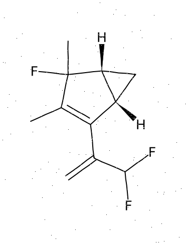 C=C(C1=C(C)C(C)(F)[C@@H]2C[C@H]12)C(F)F